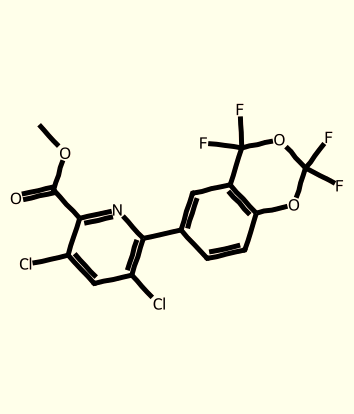 COC(=O)c1nc(-c2ccc3c(c2)C(F)(F)OC(F)(F)O3)c(Cl)cc1Cl